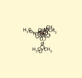 COCCn1cc(C(=O)O)c2c(N3C(=O)c4c(CCCOc5cc(C)c(Cl)c(C)c5)c5cccc(-c6c(C)nn(C)c6C)c5n4[C@H](C)C3Cl)cccc21